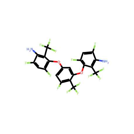 Nc1c(F)cc(F)c(Oc2cc(F)c(C(F)(F)F)c(Oc3c(F)cc(F)c(N)c3C(F)(F)F)c2)c1C(F)(F)F